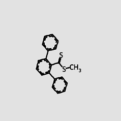 CSC(=S)c1c(-c2ccccc2)cccc1-c1ccccc1